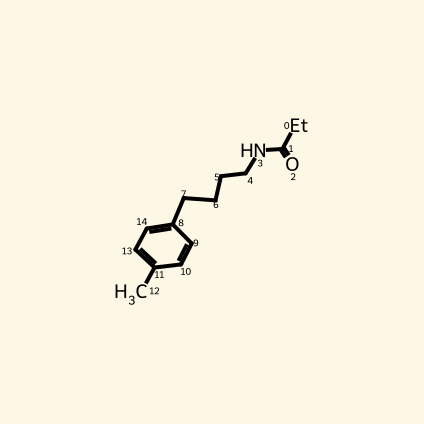 CCC(=O)NCCCCc1ccc(C)cc1